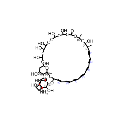 C[C@H]1C[C@H](O)[C@@H](C)/C=C/C=C/C=C/C=C/C=C/C=C/C=C/C(O[C@@H]2OC[C@@H](O)[C@H](N)[C@@H]2O)C[C@@H]2OC(O)(CC(O)CC(O)C(O)CCC(O)CC(O)CC(=O)O1)C[C@H](O)[C@H]2C(=O)NC1CCC1